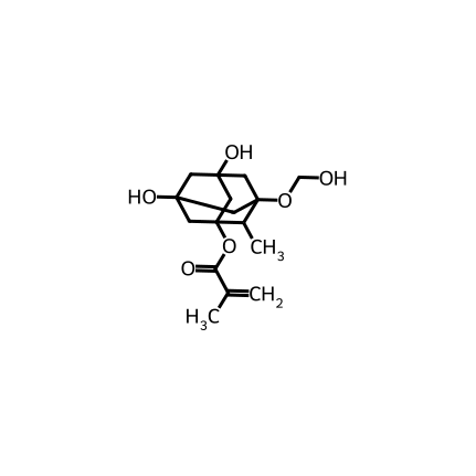 C=C(C)C(=O)OC12CC3(O)CC(O)(CC(OCO)(C3)C1C)C2